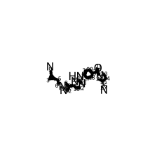 N#CC1CC1CCn1cc(-c2ccnc(Nc3ccc(C(=O)N4CC[C@@H](C#N)C4)cc3)n2)cn1